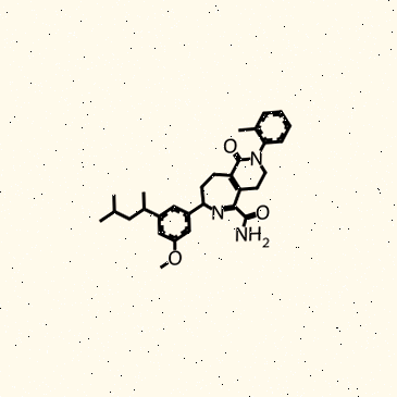 COc1cc(C(C)CC(C)C)cc(C2CCC3=C(CCN(c4ccccc4C)C3=O)C(C(N)=O)=N2)c1